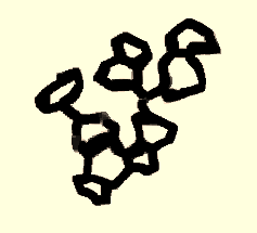 c1ccc(-c2nc3c(o2)c2ccccc2c2ccc4ccc(N(c5ccc6ccccc6c5)c5cccc6ccccc56)cc4c23)cc1